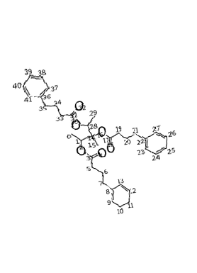 CC(OC(=O)CCCC1=CCCC=C1)C(C)(OC(=O)CCCc1ccccc1)C(C)OC(=O)CCCc1ccccc1